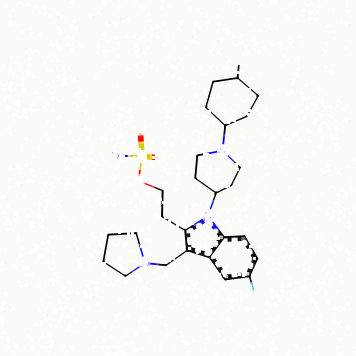 CC(C)C1CCC(N2CCC(n3c(CCOS(N)(=O)=O)c(CN4CCCC4)c4cc(F)ccc43)CC2)CC1